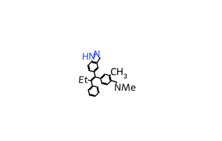 CC/C(=C(/c1ccc(CNC)c(C)c1)c1ccc2[nH]ncc2c1)c1ccccc1